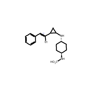 CC/C(=C\c1ccccc1)C1CC1N[C@H]1CC[C@H](NC(=O)O)CC1